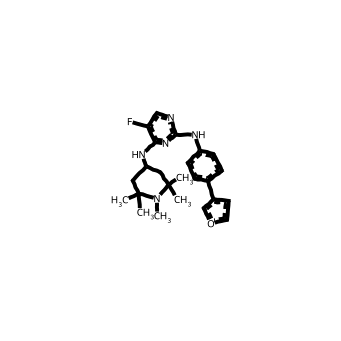 CN1C(C)(C)CC(Nc2nc(Nc3ccc(-c4ccoc4)cc3)ncc2F)CC1(C)C